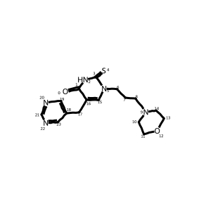 O=c1[nH]c(=S)n(CCCN2CCOCC2)cc1Cc1cncnc1